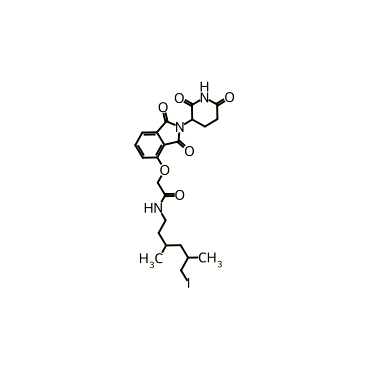 CC(CI)CC(C)CCNC(=O)COc1cccc2c1C(=O)N(C1CCC(=O)NC1=O)C2=O